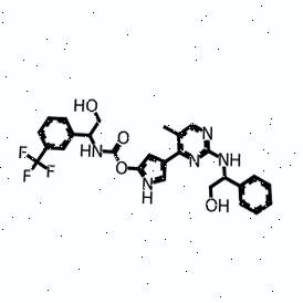 Cc1cnc(NC(CO)c2ccccc2)nc1-c1c[nH]c(OC(=O)NC(CO)c2cccc(C(F)(F)F)c2)c1